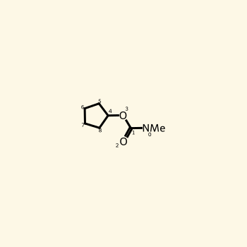 CNC(=O)OC1CCCC1